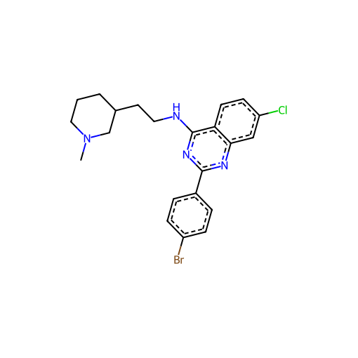 CN1CCCC(CCNc2nc(-c3ccc(Br)cc3)nc3cc(Cl)ccc23)C1